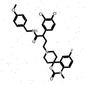 COc1ccc(CNC(=O)C(CCN2CCC3(CC2)OC(=O)N(C)c2ccc(F)cc23)c2ccc(Cl)c(Cl)c2)cc1